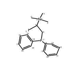 C[N+](C)(C)C(I)CP(c1ccccc1)c1ccccc1